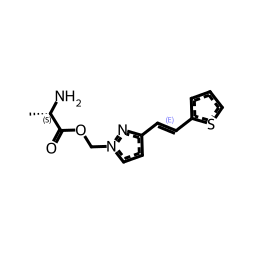 C[C@H](N)C(=O)OCn1ccc(/C=C/c2cccs2)n1